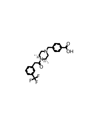 C[C@@H]1CN(Cc2ccc(C(=O)O)cc2)C[C@H](C)N1C(=O)Cc1cccc(C(F)(F)F)c1